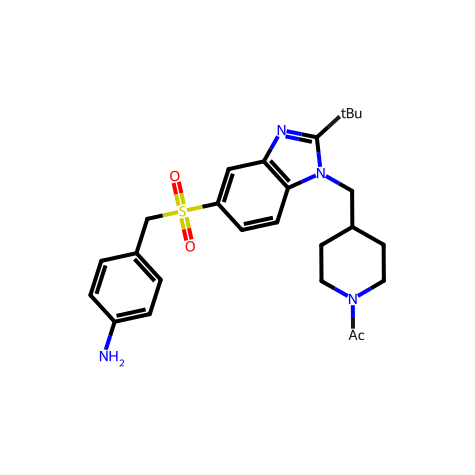 CC(=O)N1CCC(Cn2c(C(C)(C)C)nc3cc(S(=O)(=O)Cc4ccc(N)cc4)ccc32)CC1